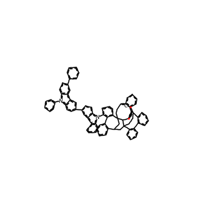 c1ccc(-c2ccc3c(c2)c2cc(-c4ccc5c(c4)c4ccccc4n5-c4cccc5c4-c4ccccc4C4CC67CCC(CCC8CCC5(C4)C6c4ccccc4-c4ccccc48)c4ccccc4-c4ccccc47)ccc2n3-c2ccccc2)cc1